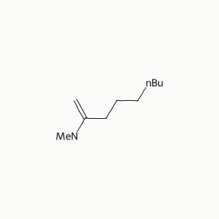 C=C(CCCCCCC)NC